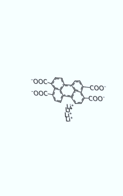 O=C([O-])c1ccc2c3ccc(C(=O)[O-])c4c(C(=O)[O-])ccc(c5ccc(C(=O)[O-])c1c25)c43.[Li+].[Li+].[Li+].[Li+]